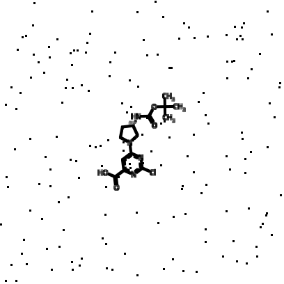 CC(C)(C)OC(=O)N[C@H]1CCN(c2cc(C(=O)O)nc(Cl)n2)C1